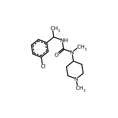 CC(NC(=O)N(C)C1CCN(C)CC1)c1cccc(Cl)c1